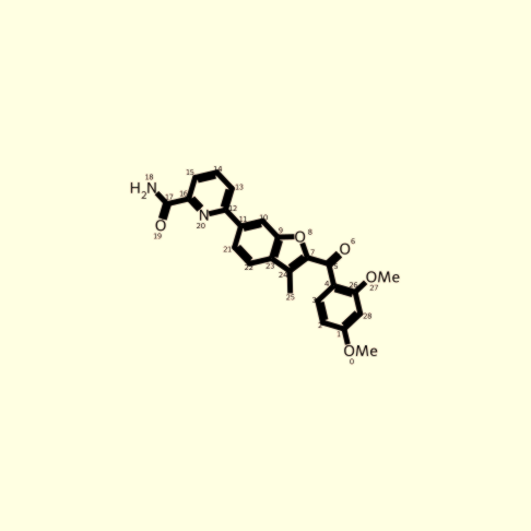 COc1ccc(C(=O)c2oc3cc(-c4cccc(C(N)=O)n4)ccc3c2C)c(OC)c1